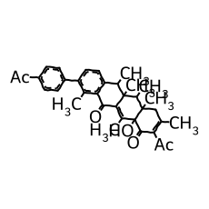 CC(=O)C1=C(C)CC2(C)C(C)C3(C)C(=C(C)C2(O)C1=O)C(=O)c1c(ccc(-c2ccc(C(C)=O)cc2)c1C)C3C